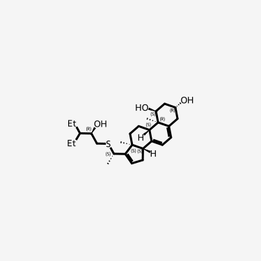 CCC(CC)[C@@H](O)CS[C@@H](C)C1=CC[C@H]2C3=CC=C4C[C@@H](O)C[C@H](O)[C@]4(C)[C@H]3CC[C@]12C